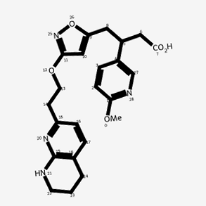 COc1ccc(C(CC(=O)O)Cc2cc(OCCc3ccc4c(n3)NCCC4)no2)cn1